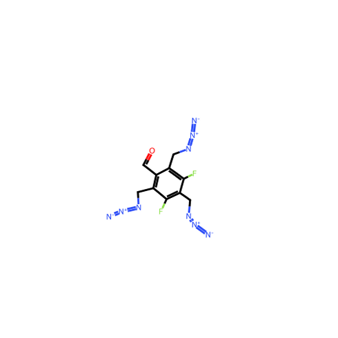 [N-]=[N+]=NCc1c(F)c(CN=[N+]=[N-])c(C=O)c(CN=[N+]=[N-])c1F